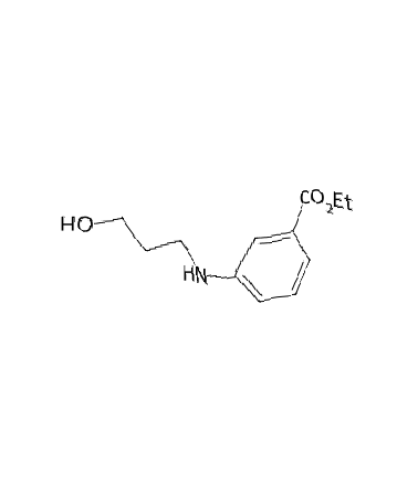 CCOC(=O)c1cccc(NCCCO)c1